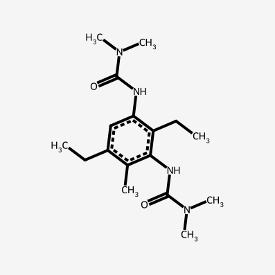 CCc1cc(NC(=O)N(C)C)c(CC)c(NC(=O)N(C)C)c1C